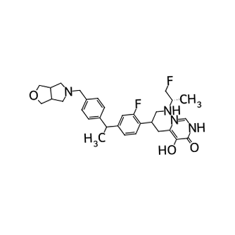 CC(c1ccc(CN2CC3COCC3C2)cc1)c1ccc(C(CN[C@@H](C)CF)Cc2nc[nH]c(=O)c2O)c(F)c1